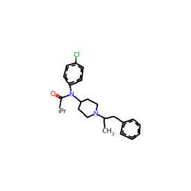 CC(C)C(=O)N(c1ccc(Cl)cc1)C1CCN(C(C)Cc2ccccc2)CC1